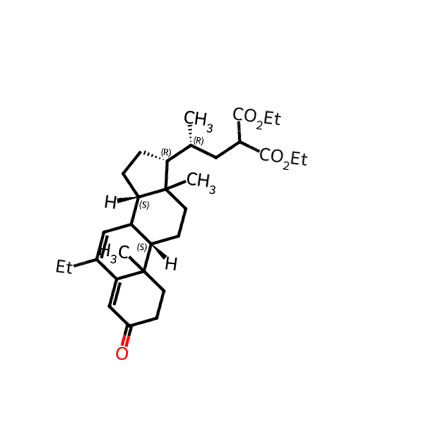 CCOC(=O)C(C[C@@H](C)[C@H]1CC[C@H]2C3C=C(CC)C4=CC(=O)CCC4(C)[C@H]3CCC12C)C(=O)OCC